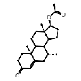 CC(=O)O[C@H]1CCC2C3C(CC[C@@]21C)[C@@]1(C)CCC(=O)C=C1C[C@H]3C